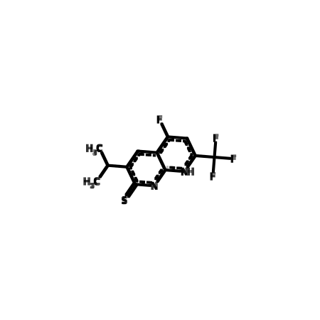 CC(C)c1cc2c(F)cc(C(F)(F)F)[nH]c-2nc1=S